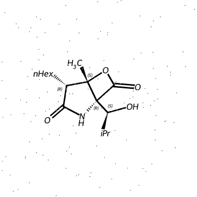 CCCCCC[C@H]1C(=O)N[C@@]2([C@@H](O)C(C)C)C(=O)O[C@@]12C